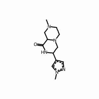 CN1CCN2CC(c3cnn(C)c3)NC(=O)C2C1